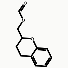 O=[C]OCC1CCc2ccccc2O1